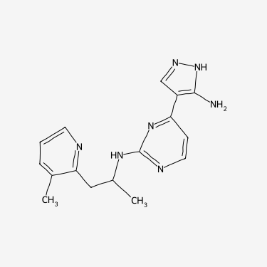 Cc1cccnc1CC(C)Nc1nccc(-c2cn[nH]c2N)n1